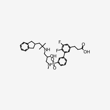 CN(CC(O)CNC(C)(C)CC1Cc2ccccc2C1)S(=O)(=O)c1cccc(-c2cc(CCC(=O)O)cc(F)c2F)c1